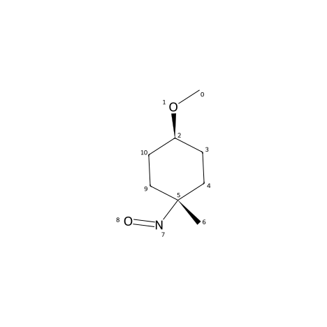 CO[C@H]1CC[C@](C)(N=O)CC1